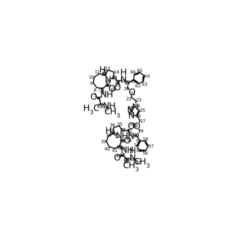 CN[C@@H](C)C(=O)N[C@H]1CCCC[C@H]2CC[C@@H](C(=O)N[C@H](COCCn3cc(COC[C@@H](NC(=O)[C@@H]4CC[C@@H]5CCCC[C@H](NC(=O)[C@H](C)NC)C(=O)N54)c4ccccc4)nn3)c3ccccc3)N2C1=O